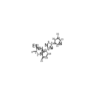 C=C(CN1N=C(C2=NCC(c3cncc(C)c3)=N2)C=CC1=C)NCC